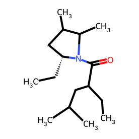 CCC(CC(C)C)C(=O)N1C(C)C(C)C[C@H]1CC